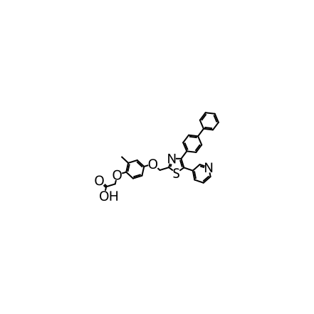 Cc1cc(OCc2nc(-c3ccc(-c4ccccc4)cc3)c(-c3cccnc3)s2)ccc1OCC(=O)O